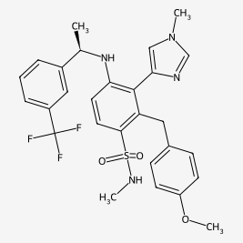 CNS(=O)(=O)c1ccc(N[C@H](C)c2cccc(C(F)(F)F)c2)c(-c2cn(C)cn2)c1Cc1ccc(OC)cc1